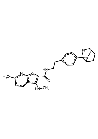 CNc1c(C(=O)NCCc2ccc(N3CC4CCC3CN4)cc2)sc2nc(C)ccc12